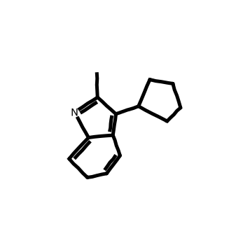 CC1=NC2=CCC=CC2=C1C1CCCC1